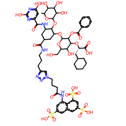 CC1OC(OC2C(NC(=O)c3cc(O)nc(O)n3)CC(C(=O)NCCCc3cn(CCCC(=O)Nc4cc(S(=O)(=O)O)cc5cc(S(=O)(=O)O)cc(S(=O)(=O)O)c45)nn3)CC2OC2OC(CO)C(O)C(O[C@@H](CC3CCCCC3)C(=O)O)C2OC(=O)c2ccccc2)C(O)C(O)C1O